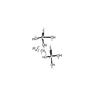 C.C.OP(O)(O)=S.OP(O)(O)=S